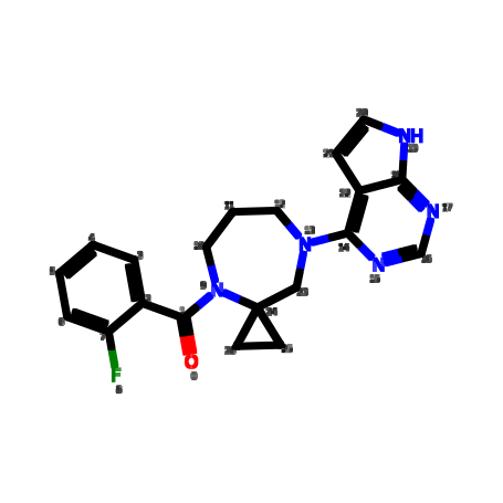 O=C(c1ccccc1F)N1CCCN(c2ncnc3[nH]ccc23)CC12CC2